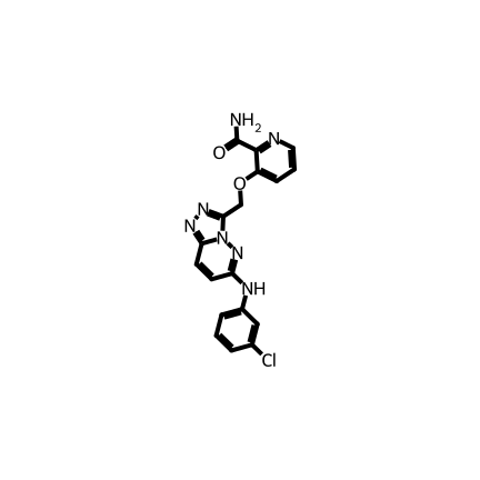 NC(=O)c1ncccc1OCc1nnc2ccc(Nc3cccc(Cl)c3)nn12